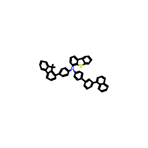 CC1(C)c2ccccc2-c2cccc(-c3ccc(N(c4ccc(-c5cccc(-c6cccc7ccccc67)c5)cc4)c4cccc5c4sc4ccccc45)cc3)c21